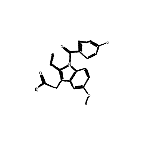 CCc1c(CC(=O)O)c2cc(OC)ccc2n1C(=O)c1ccc(Cl)cc1